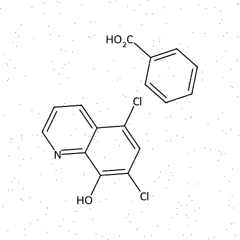 O=C(O)c1ccccc1.Oc1c(Cl)cc(Cl)c2cccnc12